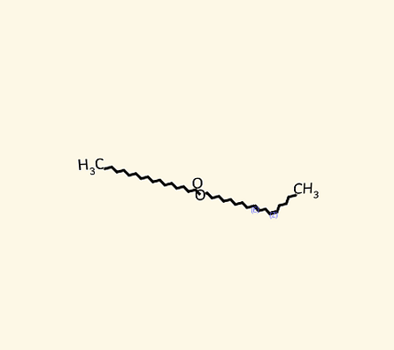 CCCCC/C=C\C/C=C/CCCCCCCCOC(=O)CCCCCCCCCCCCCCCC